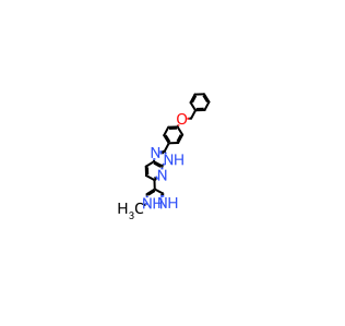 CN/C=C(\C=N)c1ccc2nc(-c3ccc(OCc4ccccc4)cc3)[nH]c2n1